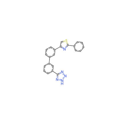 c1ccc(-c2nc(-c3cccc(-c4cccc(-c5nn[nH]n5)c4)c3)cs2)cc1